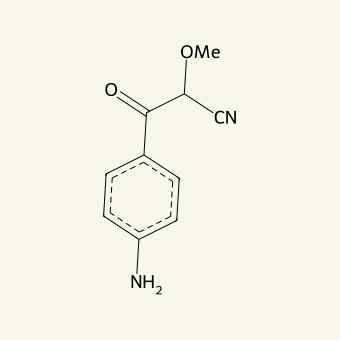 COC(C#N)C(=O)c1ccc(N)cc1